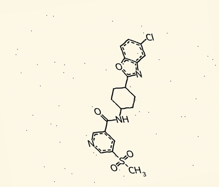 CS(=O)(=O)c1cncc(C(=O)NC2CCC(c3nc4cc(Cl)ccc4o3)CC2)c1